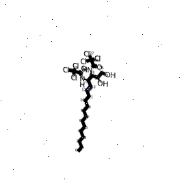 CCCCCCCCCCCC/C=C/[C@@H](NC(=O)C(Cl)(Cl)Cl)[C@@H](NC(=O)C(Cl)(Cl)Cl)[C@H](O)CO